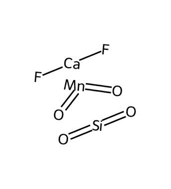 O=[Si]=O.[F][Ca][F].[O]=[Mn]=[O]